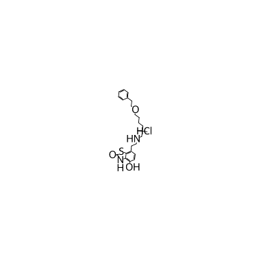 CC(C)(CCCCOCCc1ccccc1)CNCCc1ccc(O)c2[nH]c(=O)sc12.Cl